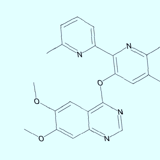 COc1cc2ncnc(Oc3cc(C)c(C)nc3-c3cccc(C)n3)c2cc1OC